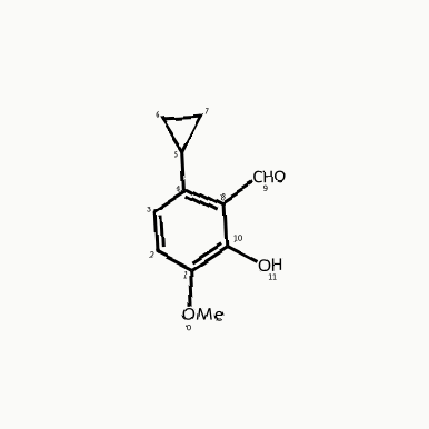 COc1ccc(C2CC2)c(C=O)c1O